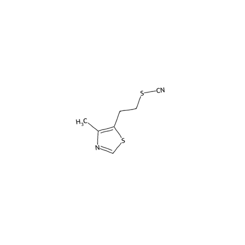 Cc1ncsc1CCSC#N